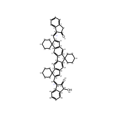 O=C1Cc2ccccc2/C1=C/C1=Cc2cc3c(cc2C12CCCCC2)-c1cc2c(cc1C31CCCCC1)C=C(/C=C1\C(=O)C(O)c3ccccc31)C21CCCCC1